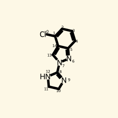 Clc1cccc2nn(C3=NCCN3)cc12